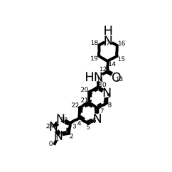 Cn1cc(-c2cnc3cnc(NC(=O)C4CCNCC4)cc3c2)nn1